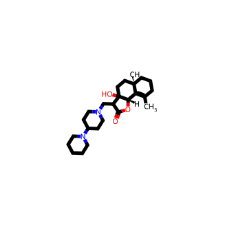 CC1=C2[C@@H]3OC(=O)C(CN4CCC(N5CCCCC5)CC4)C3(O)CC[C@@]2(C)CCC1